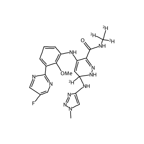 [2H]C([2H])([2H])NC(=O)C1=NNC([2H])(Nc2cn(C)nn2)C=C1Nc1cccc(-c2ncc(F)cn2)c1OC